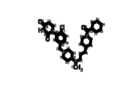 CN(CCCC1CCN(C(=O)C2CCCCC2)CC1)C1CCN(Cc2ccc(Cl)c(N3CCC(=O)NC3=O)c2)CC1